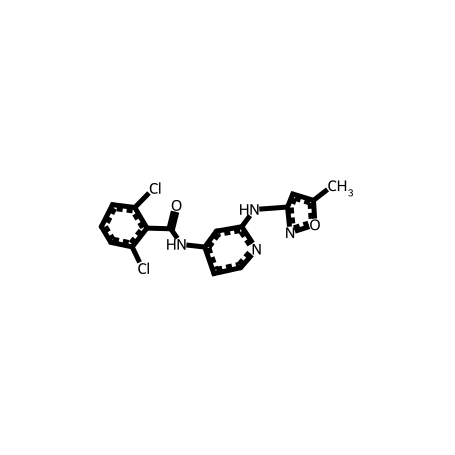 Cc1cc(Nc2cc(NC(=O)c3c(Cl)cccc3Cl)ccn2)no1